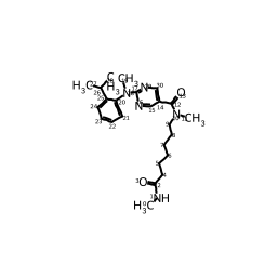 CNC(=O)CCCCCCN(C)C(=O)c1cnc(N(C)c2ccccc2C(C)C)nc1